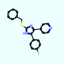 Fc1ccc(-c2[nH]c(SCc3ccccc3)nc2-c2ccncc2)cc1